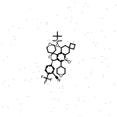 CC(C)(C)[Si](C)(C)O[C@H]1CC2(CCC2)Cc2c1c1c(c(C3CCOCC3)[n+]2[O-])[C@@H](c2ccc(C(F)(F)F)c(C#N)c2)OC12CCOCC2